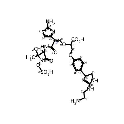 CC1(C)C(NC(=O)/C(=N\OC(COc2ccc(C3CNC(NCCN)=N3)cc2)C(=O)O)c2csc(N)n2)C(=O)N1OS(=O)(=O)O